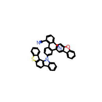 N#Cc1cccc(C#N)c1-c1ccc(-n2c3ccccc3c3ccc4sc5ccccc5c4c32)cc1-c1ccc2oc3ccccc3c2c1